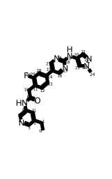 CCc1cncc(NC(=O)Cc2ccc(-c3cnc(Nc4cnn(C)c4)nc3)cc2F)c1